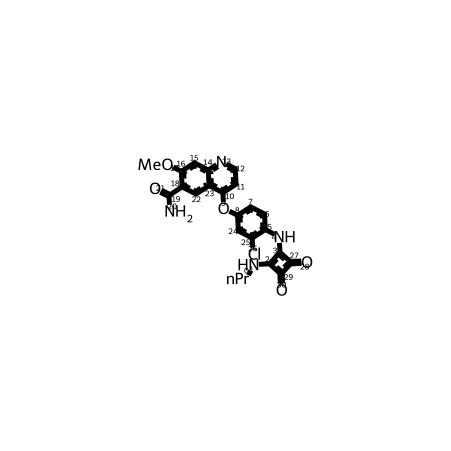 CCCNc1c(Nc2ccc(Oc3ccnc4cc(OC)c(C(N)=O)cc34)cc2Cl)c(=O)c1=O